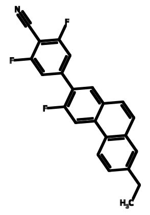 CCc1ccc2c(ccc3cc(-c4cc(F)c(C#N)c(F)c4)c(F)cc32)c1